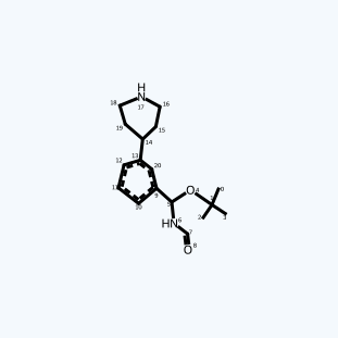 CC(C)(C)OC(NC=O)c1cccc(C2CCNCC2)c1